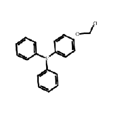 ClCCl.c1ccc([S+](c2ccccc2)c2ccccc2)cc1